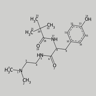 CN(C)CCNC(=O)C(Cc1ccc(O)cc1)NC(=O)C(C)(C)C